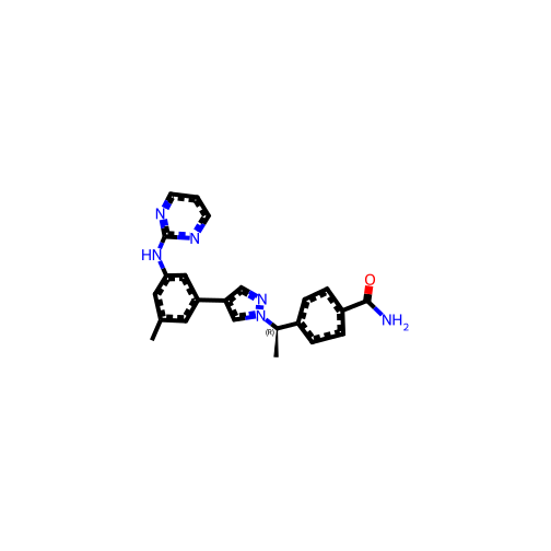 Cc1cc(Nc2ncccn2)cc(-c2cnn([C@H](C)c3ccc(C(N)=O)cc3)c2)c1